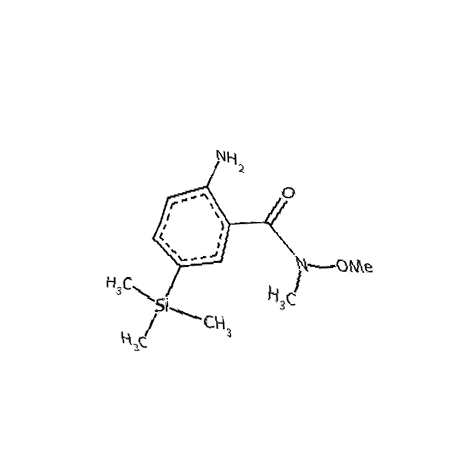 CON(C)C(=O)c1cc([Si](C)(C)C)ccc1N